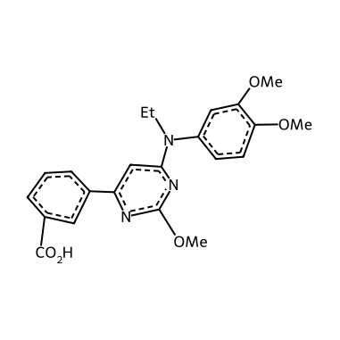 CCN(c1ccc(OC)c(OC)c1)c1cc(-c2cccc(C(=O)O)c2)nc(OC)n1